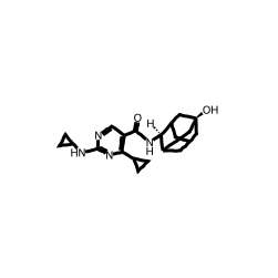 O=C(N[C@H]1C2CC3CC1C[C@@](O)(C3)C2)c1cnc(NC2CC2)nc1C1CC1